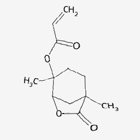 C=CC(=O)OC1(C)CCC2(C)CC1OC2=O